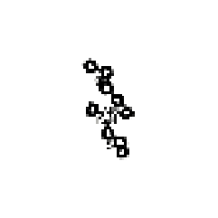 c1ccc(-c2nc(-c3ccc4sc5c6ccccc6ccc5c4c3)nc(-n3c4ccccc4c4ccc(-c5ccc6oc7c(-c8ccccc8)cccc7c6c5)cc43)n2)cc1